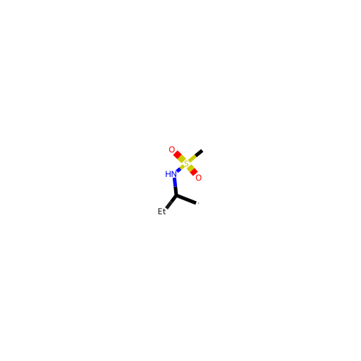 [CH2]C(CC)NS(C)(=O)=O